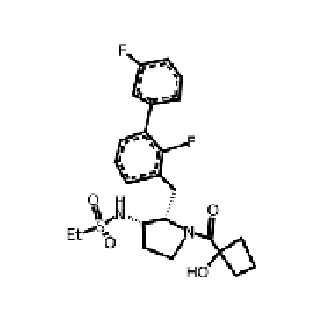 CCS(=O)(=O)N[C@H]1CCN(C(=O)C2(O)CCC2)[C@H]1Cc1cccc(-c2cccc(F)c2)c1F